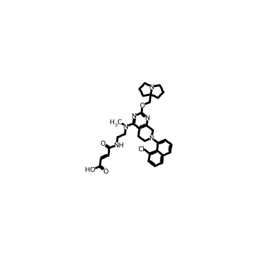 CN(CCNC(=O)/C=C/C(=O)O)c1nc(OCC23CCCN2CCC3)nc2c1CCN(c1cccc3cccc(Cl)c13)C2